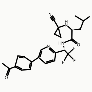 CC(=O)c1ccc(-c2ccc([C@H](NC(=O)[C@H](CC(C)C)NC3(C#N)CC3)C(F)(F)F)nc2)cc1